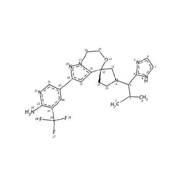 CC(C)C(c1ncc[nH]1)N1CC[C@]2(C1)OCCn1nc(-c3cnc(N)c(C(F)(F)F)c3)cc12